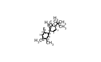 C=C(/C=C\C(=C/CC)c1cc(C)c(C)cc1F)C(C)(C)C